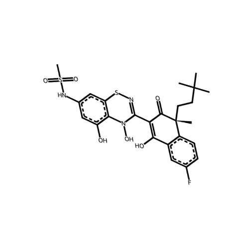 CC(C)(C)CC[C@@]1(C)C(=O)C(C2=NSc3cc(NS(C)(=O)=O)cc(O)c3N2O)=C(O)c2cc(F)ccc21